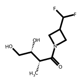 C[C@@H](C(=O)N1CC(C(F)F)C1)[C@@H](O)CO